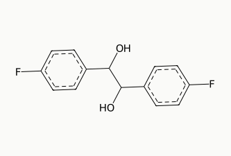 OC(c1ccc(F)cc1)C(O)c1ccc(F)cc1